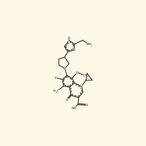 COc1c(N2CCC(c3c[nH]c(CN)n3)C2)c(F)c(C)c2c(=O)c(C(=O)O)cn(C3CC3)c12